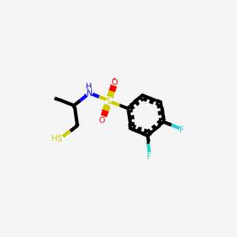 CC(CS)NS(=O)(=O)c1ccc(F)c(F)c1